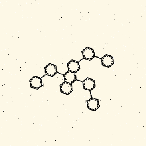 c1ccc(-c2cccc(-c3ccc4c(-c5cccc(-c6ccccn6)c5)c5ccccc5c(-c5cccc(-c6ccccn6)c5)c4c3)c2)cc1